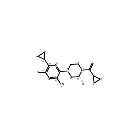 C=C(C1CC1)N1CCN(c2nc(C3CC3)c(C)cc2C#N)C[C@H]1C